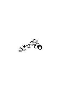 CC1Oc2ccc(OCc3ccc4ccccc4n3)cc2C(O)C1Cc1ccccc1